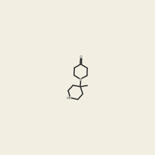 CC1(N2CCC(=O)CC2)CCNCC1